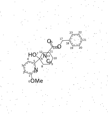 COc1cccc(C2(O)CC3CCC2N(C(=O)OCc2ccccc2)C3)n1